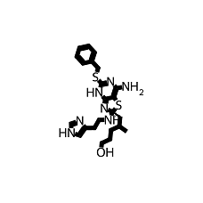 CC(CCCO)C[C@@]1(NCCc2c[nH]cn2)N=C2NC(SCc3ccccc3)=NC(N)=C2S1